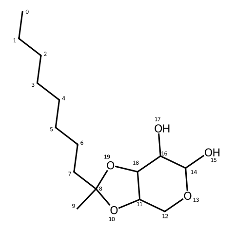 CCCCCCCCC1(C)OC2COC(O)C(O)C2O1